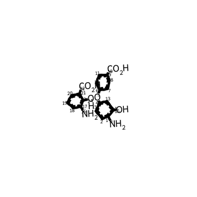 Nc1ccc(Oc2ccc(C(=O)O)cc2)cc1O.Nc1cccc(C(=O)O)c1O